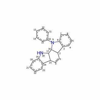 C1=CC2c3ccccc3N(c3ccccc3)C2C2Nc3ccccc3C12